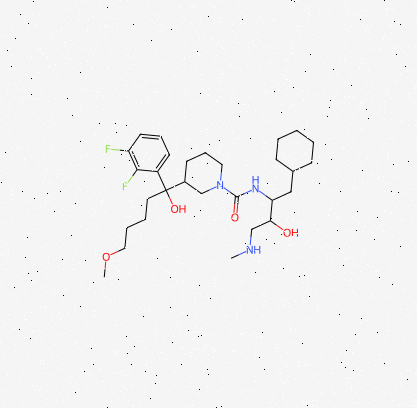 CNCC(O)C(CC1CCCCC1)NC(=O)N1CCCC(C(O)(CCCCOC)c2cccc(F)c2F)C1